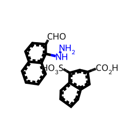 NNc1c(C=O)ccc2ccccc12.O=C(O)c1cc(S(=O)(=O)O)c2ccccc2c1